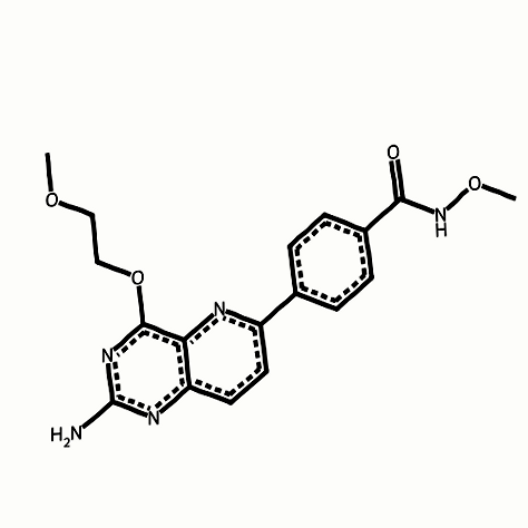 COCCOc1nc(N)nc2ccc(-c3ccc(C(=O)NOC)cc3)nc12